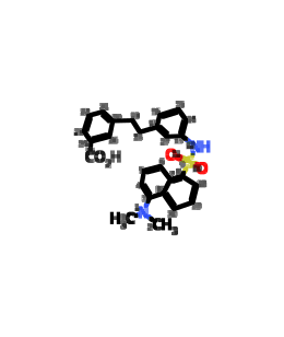 CN(C)c1cccc2c(S(=O)(=O)Nc3cccc(CCc4cccc(C(=O)O)c4)c3)cccc12